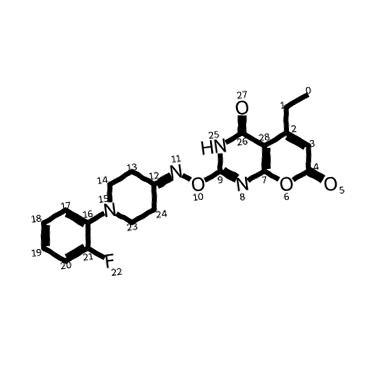 CCc1cc(=O)oc2nc(ON=C3CCN(c4ccccc4F)CC3)[nH]c(=O)c12